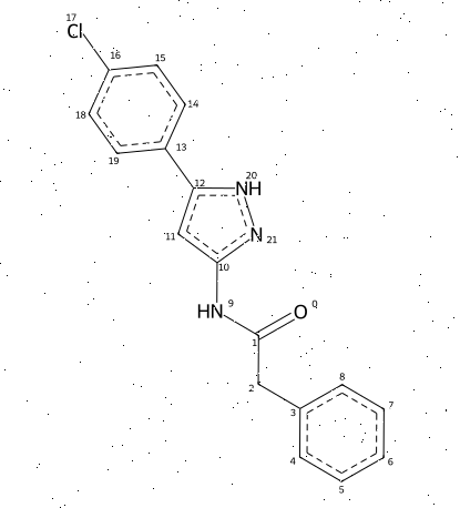 O=C(Cc1ccccc1)Nc1cc(-c2ccc(Cl)cc2)[nH]n1